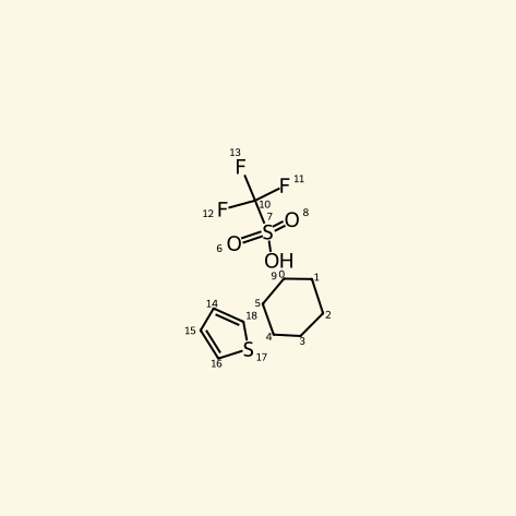 C1CCCCC1.O=S(=O)(O)C(F)(F)F.c1ccsc1